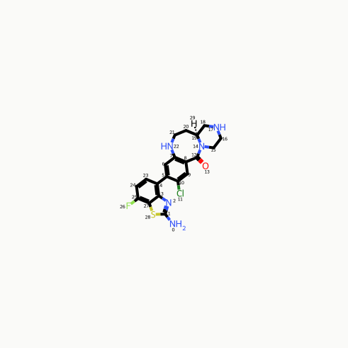 Nc1nc2c(-c3cc4c(cc3Cl)C(=O)N3CCNC[C@@H]3CCN4)ccc(F)c2s1